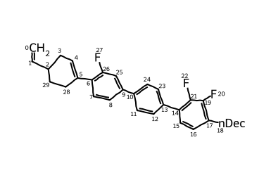 C=CC1CC=C(c2ccc(-c3ccc(-c4ccc(CCCCCCCCCC)c(F)c4F)cc3)cc2F)CC1